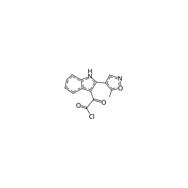 Cc1oncc1-c1[nH]c2ccccc2c1C(=O)C(=O)Cl